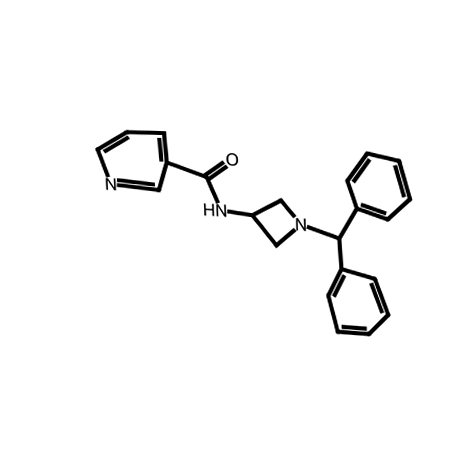 O=C(NC1CN(C(c2ccccc2)c2ccccc2)C1)c1cccnc1